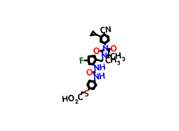 CC1(C)C(=O)N(c2ccc(C#N)c(C3CC3)c2)C(=O)N1Cc1ccc(F)cc1NC(=O)Nc1ccc(SCC(=O)O)cc1